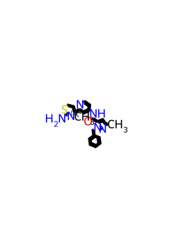 Cc1cc(C(=O)Nc2ccnc([C@]3(C)CCSC(N)=N3)c2)n(Cc2ccccc2)n1